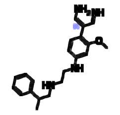 COc1cc(NCCNCC(C)c2ccccc2)ccc1/C(C=N)=C/N